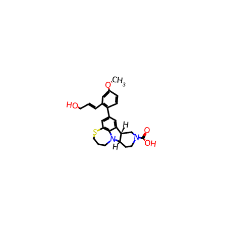 COc1ccc(-c2cc3c4c(c2)[C@@H]2CN(C(=O)O)CC[C@@H]2N4CCCS3)c(/C=C/CO)c1